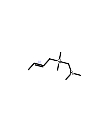 C/C=C/C[Si](C)(C)CN(C)C